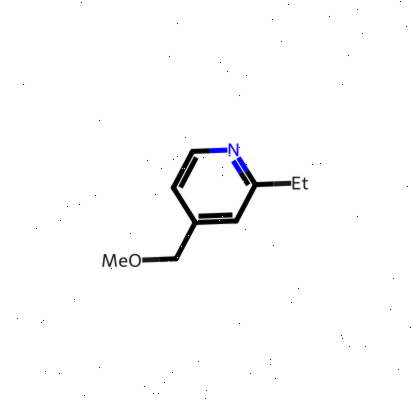 CCc1cc(COC)ccn1